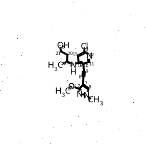 COc1nn(C)cc1C#Cc1cnc(Cl)cc1N[C@@H](C)CCO